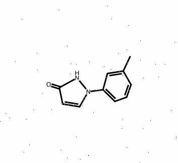 Cc1cccc(-n2ccc(=O)[nH]2)c1